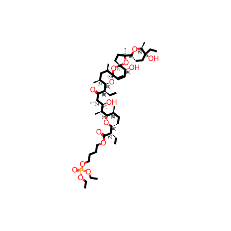 CCOP(=O)(OCC)OCCCCOC(=O)[C@@H](CC)[C@H]1CC[C@H](C)[C@H]([C@@H](C)[C@H](O)[C@H](C)C(=O)[C@H](CC)[C@H]2O[C@]3(C=C[C@@H](O)[C@]4(CC[C@@](C)([C@H]5CC[C@](O)(CC)[C@H](C)O5)O4)O3)[C@H](C)C[C@@H]2C)O1